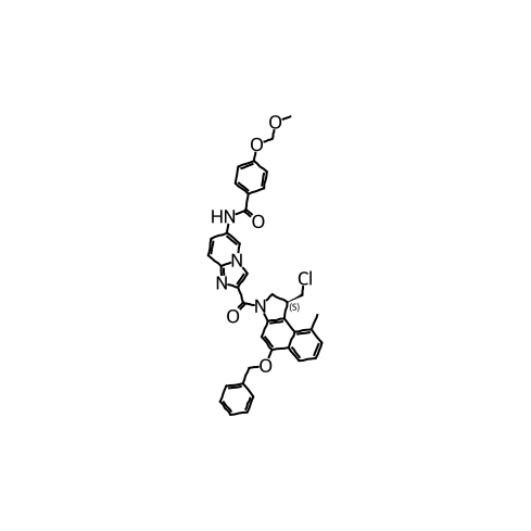 COCOc1ccc(C(=O)Nc2ccc3nc(C(=O)N4C[C@@H](CCl)c5c4cc(OCc4ccccc4)c4cccc(C)c54)cn3c2)cc1